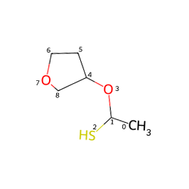 CC(S)OC1CCOC1